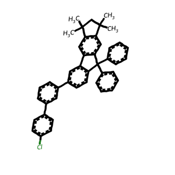 CC1(C)CC(C)(C)c2cc3c(cc21)-c1cc(-c2cccc(-c4ccc(Cl)cc4)c2)ccc1C3(c1ccccc1)c1ccccc1